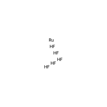 F.F.F.F.F.[Ru]